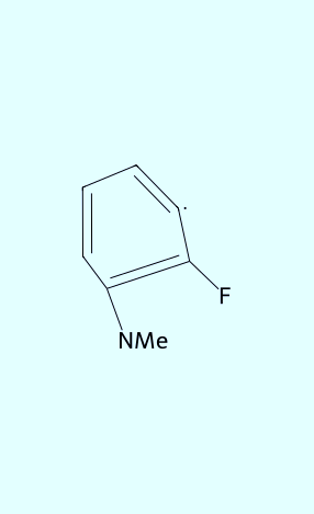 CNc1ccc[c]c1F